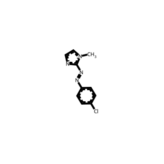 Cn1ccnc1/N=N/c1ccc(Cl)cc1